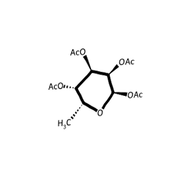 CC(=O)O[C@H]1O[C@H](C)[C@H](OC(C)=O)[C@@H](OC(C)=O)[C@H]1OC(C)=O